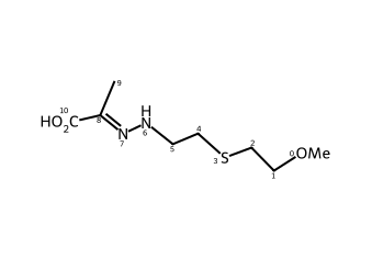 COCCSCCNN=C(C)C(=O)O